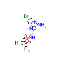 CC(C)(C)OC(=O)NCCc1cc2c(N)nc3cc(Br)ccc3c2[nH]1